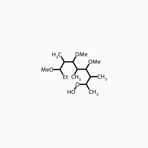 CCC(OC)C(C)C(OC)C(C)C(OC)C(C)C(C)OO